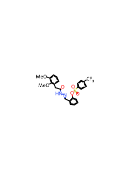 COc1cccc(CC(=O)N/N=C/c2ccccc2OS(=O)(=O)c2ccc(C(F)(F)F)cc2)c1OC